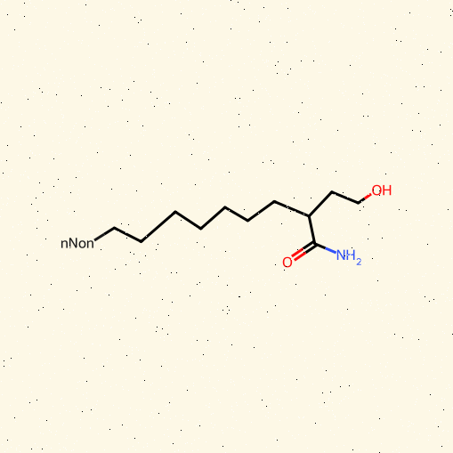 CCCCCCCCCCCCCCCCC(CCO)C(N)=O